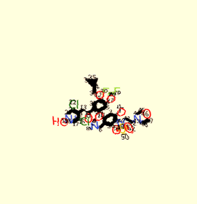 COc1ccc(CN(C)C(=O)O[C@@H](Cc2c(Cl)c[n+](O)cc2Cl)c2ccc(OC(F)F)c(OCC3CC3)c2)cc1N(CCN1CCOCC1)S(C)(=O)=O